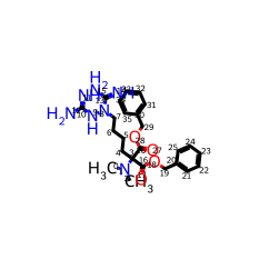 CN(C)C(CCCCN(NC(=N)N)C(=N)N)(C(=O)OCc1ccccc1)C(=O)OCc1ccccc1